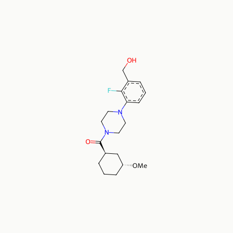 CO[C@@H]1CCC[C@@H](C(=O)N2CCN(c3cccc(CO)c3F)CC2)C1